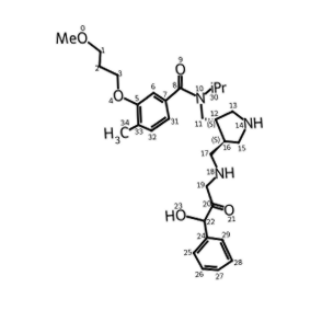 COCCCOc1cc(C(=O)N(C[C@@H]2CNC[C@H]2CNCC(=O)C(O)c2ccccc2)C(C)C)ccc1C